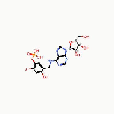 O=P(O)(O)Oc1cc(CNc2ncnc3c2ncn3[C@@H]2O[C@H](CO)[C@@H](O)[C@H]2O)c(O)cc1Br